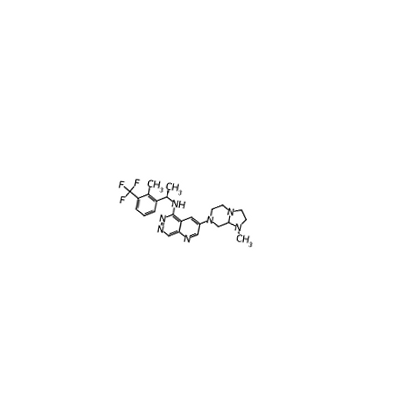 Cc1c([C@@H](C)Nc2nncc3ncc(N4CCN5CCN(C)C5C4)cc23)cccc1C(F)(F)F